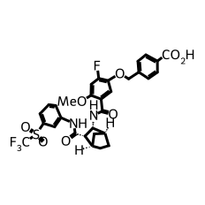 COc1cc(F)c(OCc2ccc(C(=O)O)cc2)cc1C(=O)N[C@@H]1[C@H]2CC[C@H](C2)[C@@H]1C(=O)Nc1cccc(S(=O)(=O)C(F)(F)F)c1